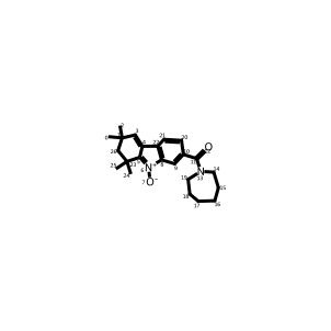 CC1(C)C=C2C(=[N+]([O-])c3cc(C(=O)N4CCCCCC4)ccc32)C(C)(C)C1